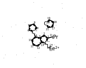 CC(C)c1cc2c(-[c-]3cccc3)cccc2[cH-]1.[Fe+2].[Li+].c1cc[cH-]c1